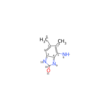 Cc1cc2c(c([NH])c1C)=NC(=O)N=2